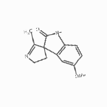 COc1ccc2c(c1)C1(CCN=C1C)C(=O)N2